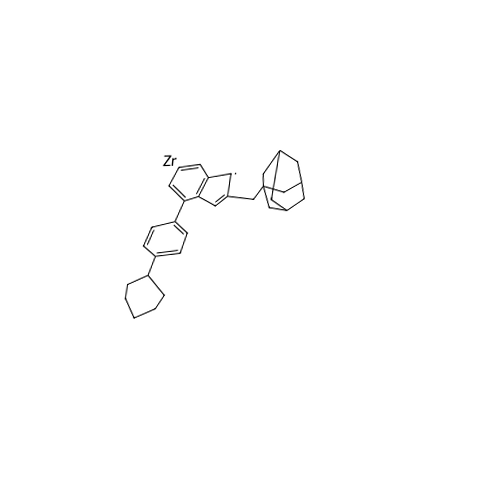 [CH]1C(CC23CC4CC(CC(C4)C2)C3)=Cc2c1cccc2-c1ccc(C2CCCCC2)cc1.[Zr]